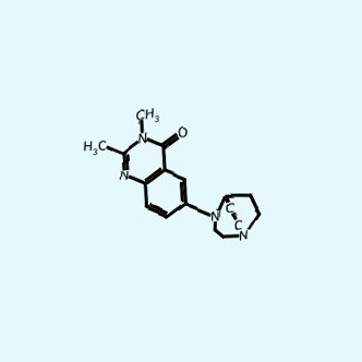 Cc1nc2ccc(N3CCN4CCC3CC4)cc2c(=O)n1C